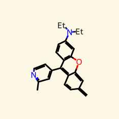 C=c1ccc2c(c1)Oc1cc(N(CC)CC)ccc1C=2c1ccnc(C)c1